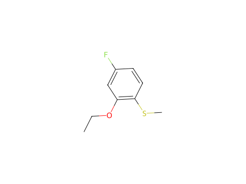 CCOc1cc(F)ccc1SC